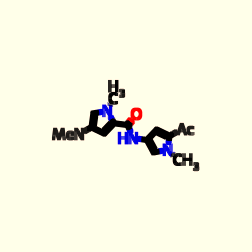 CNc1cc(C(=O)Nc2cc(C(C)=O)n(C)c2)n(C)c1